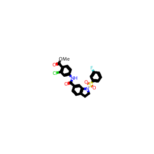 COC(=O)c1ccc(NC(=O)c2ccc3c(c2)N(S(=O)(=O)c2cccc(F)c2)CC3)cc1Cl